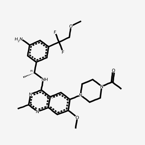 COCC(F)(F)c1cc(N)cc([C@@H](C)Nc2nc(C)nc3cc(OC)c(N4CCN(C(C)=O)CC4)cc23)c1